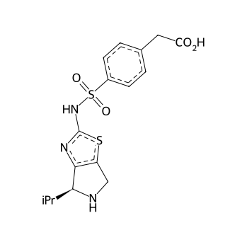 CC(C)[C@@H]1NCc2sc(NS(=O)(=O)c3ccc(CC(=O)O)cc3)nc21